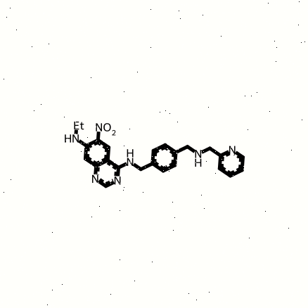 CCNc1cc2ncnc(NCc3ccc(CNCc4ccccn4)cc3)c2cc1[N+](=O)[O-]